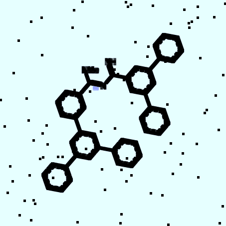 CN/C(=N\C(=N)c1cc(-c2ccccc2)cc(-c2ccccc2)c1)c1cccc(-c2cc(-c3ccccc3)cc(-c3ccccc3)c2)c1